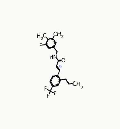 CCCc1cc(C(F)(F)F)ccc1/C=C/C(=O)NCc1cc(C)c(C)c(F)c1